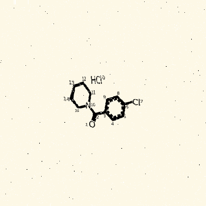 Cl.O=C(c1ccc(Cl)cc1)N1CCCCC1